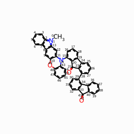 Cn1c2ccccc2c2cc3c(cc21)N(c1cccc2c1C(=O)c1c-2cccc1-c1cccc2c1-c1ccccc1C2=O)c1ccccc1O3